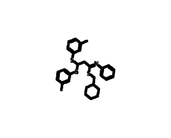 Cc1cccc(SC(CC(=Nc2ccccc2)SCC2CCCCC2)Sc2cccc(C)c2)c1